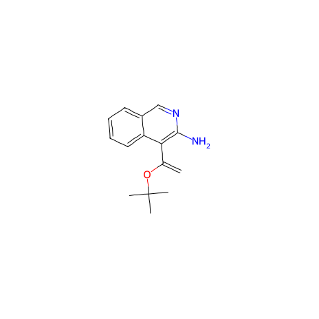 C=C(OC(C)(C)C)c1c(N)ncc2ccccc12